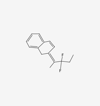 CCC(F)(F)C(C)=C1C=Cc2ccccc2C1